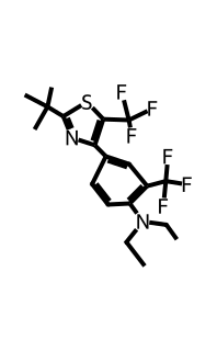 CCN(CC)c1ccc(-c2nc(C(C)(C)C)sc2C(F)(F)F)cc1C(F)(F)F